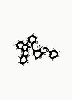 c1ccc(-n2cnc3c(-n4c5ccccc5c5c6ccccc6c6c7ccccc7sc6c54)cccc32)cc1